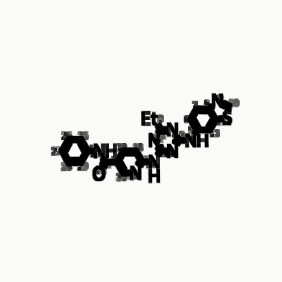 CCc1nc(Nc2ccc3ncsc3c2)nc(Nc2ccc(C(=O)Nc3ccccc3)cn2)n1